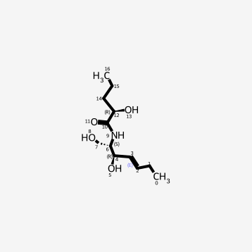 CC/C=C/[C@@H](O)[C@H](CO)NC(=O)[C@H](O)CCC